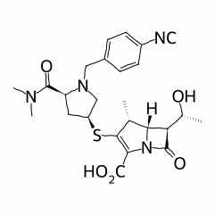 [C-]#[N+]c1ccc(CN2C[C@@H](SC3=C(C(=O)O)N4C(=O)[C@H]([C@@H](C)O)[C@H]4[C@H]3C)C[C@H]2C(=O)N(C)C)cc1